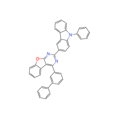 c1ccc(-c2cccc(-c3nc(-c4ccc5c(c4)c4ccccc4n5-c4ccccc4)nc4oc5ccccc5c34)c2)cc1